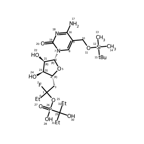 CCC(F)(C[C@H]1O[C@@H](n2cc(CO[Si](C)(C)C(C)(C)C)c(N)nc2=O)[C@H](O)[C@@H]1O)OP(=O)(O)C(O)(CC)CC